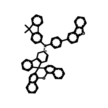 CC1(C)c2ccccc2-c2cc(N(c3ccc(-c4ccc5oc6ccccc6c5c4)cc3)[C@@H]3C=CC4=C(C3)c3ccccc3C43c4ccc5ccccc5c4Oc4c3ccc3ccccc43)ccc21